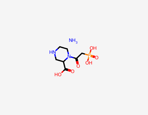 N.O=C(O)C1CNCCN1C(=O)CP(=O)(O)O